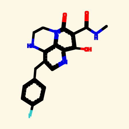 CNC(=O)c1c(O)c2ncc(Cc3ccc(F)cc3)c3c2n(c1=O)CCN3